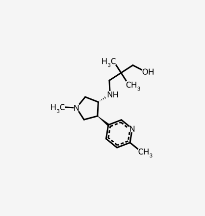 Cc1ccc([C@H]2CN(C)C[C@@H]2NCC(C)(C)CO)cn1